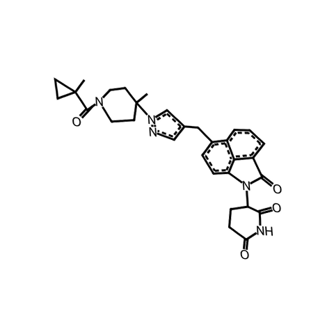 CC1(C(=O)N2CCC(C)(n3cc(Cc4ccc5c6c(cccc46)C(=O)N5C4CCC(=O)NC4=O)cn3)CC2)CC1